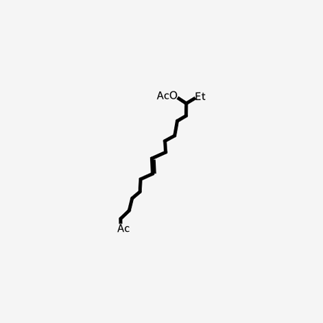 CCC(CCCCCC=CCCCCCC(C)=O)OC(C)=O